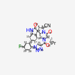 CC(C)C[C@@H](C(=O)N1C[C@]2(C[C@H]1C#N)C(=O)Nc1ccccc12)N(C)C(=O)c1cn(-c2ccc(F)cc2)nn1